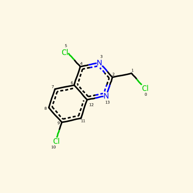 ClCc1nc(Cl)c2ccc(Cl)cc2n1